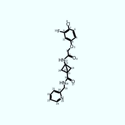 O=C(COc1ccc(Cl)c(F)c1)NC12CC(C(=O)NCc3ccccn3)(C1)C2